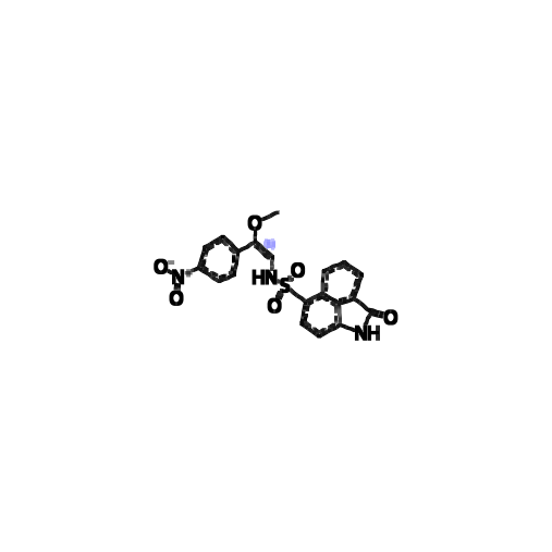 CO/C(=C/NS(=O)(=O)c1ccc2c3c(cccc13)C(=O)N2)c1ccc([N+](=O)[O-])cc1